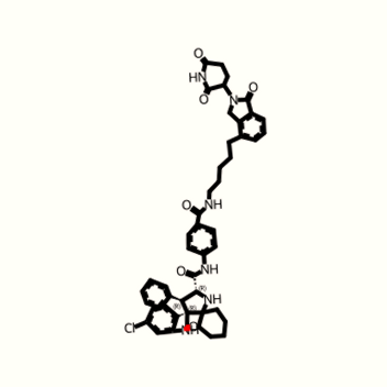 O=C1CCC(N2Cc3c(CCCCCNC(=O)c4ccc(NC(=O)[C@@H]5NC6(CCCCC6)[C@@]6(C(=O)Nc7cc(Cl)ccc76)[C@H]5c5ccccc5)cc4)cccc3C2=O)C(=O)N1